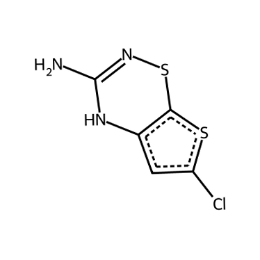 NC1=NSc2sc(Cl)cc2N1